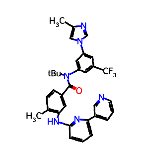 Cc1cn(-c2cc(N(C(=O)c3ccc(C)c(Nc4cccc(-c5cccnc5)n4)c3)C(C)(C)C)cc(C(F)(F)F)c2)cn1